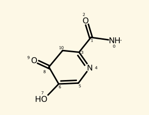 [NH]C(=O)C1=NC=C(O)C(=O)C1